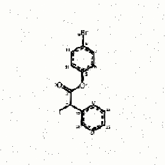 CC(C(=O)Oc1ccc(Br)cc1)c1ccccc1